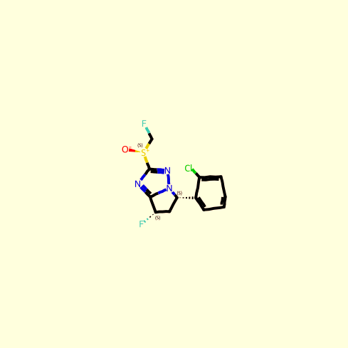 [O-][S@@+](CF)c1nc2n(n1)[C@H](c1ccccc1Cl)C[C@@H]2F